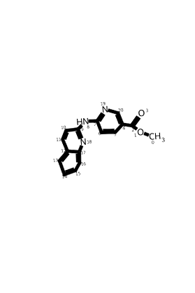 COC(=O)c1ccc(Nc2ccc3ccccc3n2)nc1